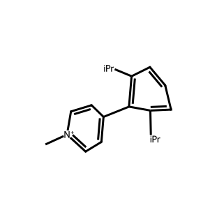 CC(C)c1cccc(C(C)C)c1-c1cc[n+](C)cc1